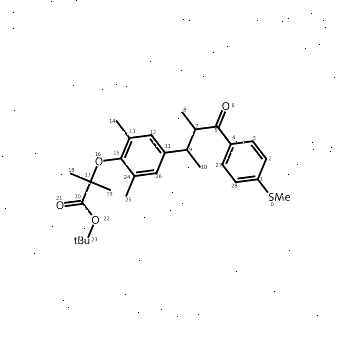 CSc1ccc(C(=O)C(C)C(C)c2cc(C)c(OC(C)(C)C(=O)OC(C)(C)C)c(C)c2)cc1